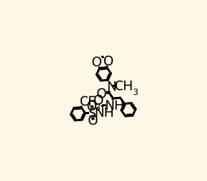 CN(C(=O)C(Cc1ccccc1)NC(=O)NS(=O)(=O)c1ccccc1C(F)(F)F)c1ccc2c(c1)OCO2